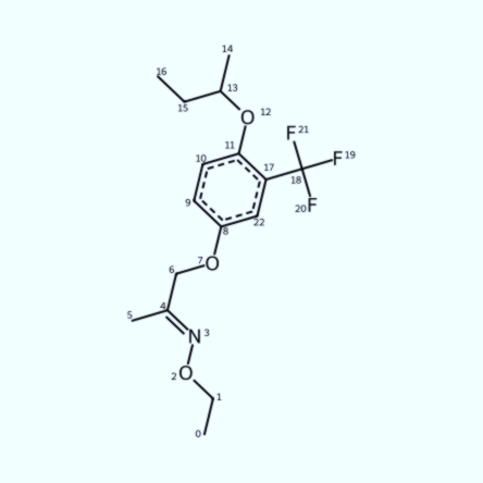 CCON=C(C)COc1ccc(OC(C)CC)c(C(F)(F)F)c1